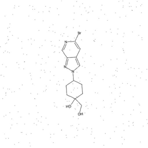 OCC1(O)CCC(n2cc3cc(Br)ncc3n2)CC1